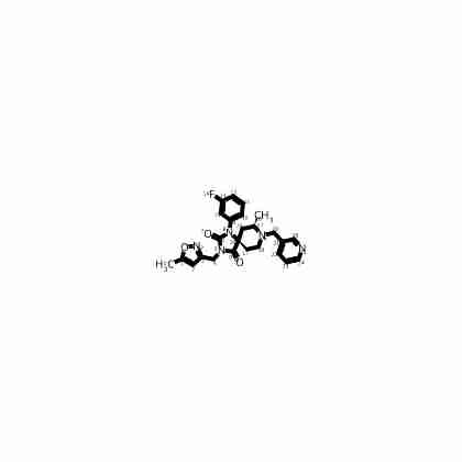 Cc1cc(CN2C(=O)N(c3cccc(F)c3)[C@@]3(CCN(Cc4cccnc4)[C@@H](C)C3)C2=O)no1